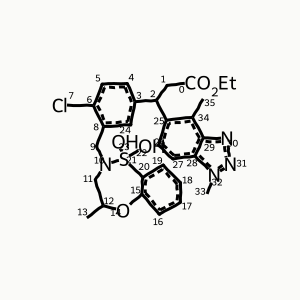 CCOC(=O)CC(c1ccc(Cl)c(CN2CC(C)Oc3ccccc3S2(O)O)c1)c1ccc2c(nnn2C)c1C